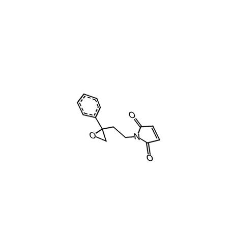 O=C1C=CC(=O)N1CCC1(c2ccccc2)CO1